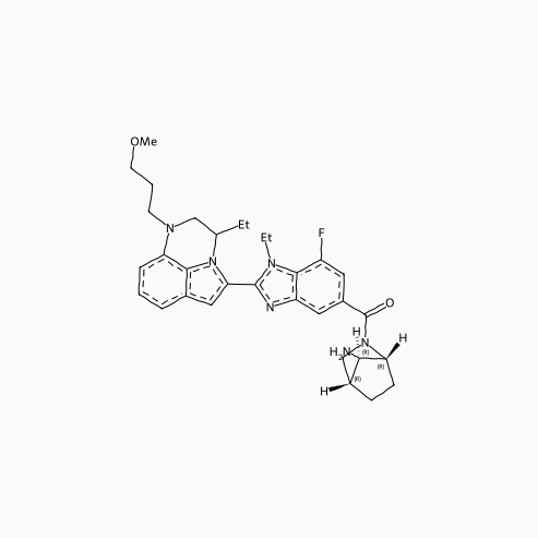 CCC1CN(CCCOC)c2cccc3cc(-c4nc5cc(C(=O)N6C[C@H]7CC[C@@H]6[C@@H]7N)cc(F)c5n4CC)n1c23